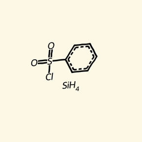 O=S(=O)(Cl)c1ccccc1.[SiH4]